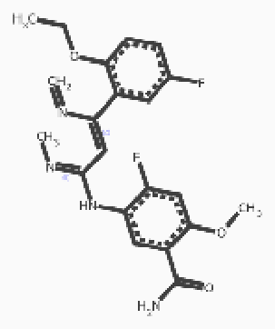 C=N/C(=C\C(=N/C)Nc1cc(C(N)=O)c(OC)cc1F)c1cc(F)ccc1OCC